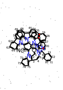 C=Cc1c2cc[n+]3c(-c4ccccc4)nc(-c4ccccc4)nc3c3c(-n4c5ccccc5c5ccccc54)c(-n4c5ccccc5c5ccccc54)c(-n4c5ccccc5c5ccccc54)c(C#N)c3n1c1ccccc21